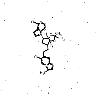 Cc1cnc2cc(CC[C@H]3C[C@@H](n4ccc5c(Cl)ncnc54)[C@@H]4OC(C)(C)O[C@H]34)c(Cl)cn12